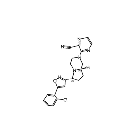 N#Cc1nccnc1N1CCN2[C@@H](CC[C@@H]2c2cc(-c3ccccc3Cl)on2)C1